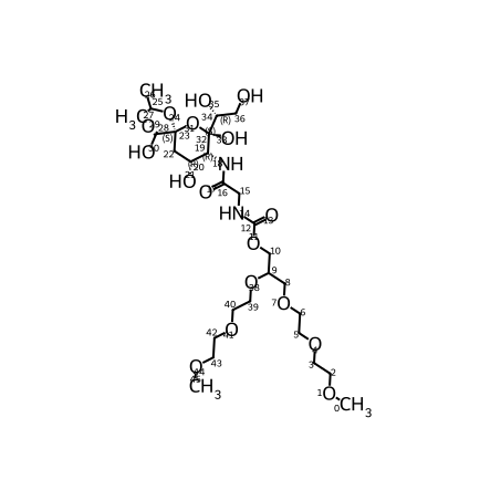 COCCOCCOCC(COC(=O)NCC(=O)N[C@@H]1[C@H](O)C[C@@](OC(C)C)(C(=O)O)O[C@]1(O)[C@H](O)CO)OCCOCCOC